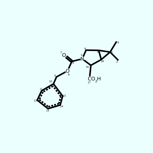 CC1(C)C2CN(C(=O)OCc3ccccc3)C(C(=O)O)C21